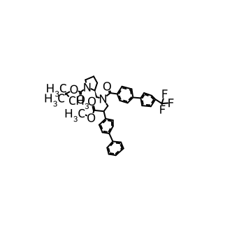 COC(=O)C(CN(C[C@@H]1CCCN1C(=O)OC(C)(C)C)C(=O)c1ccc(-c2ccc(C(F)(F)F)cc2)cc1)c1ccc(-c2ccccc2)cc1